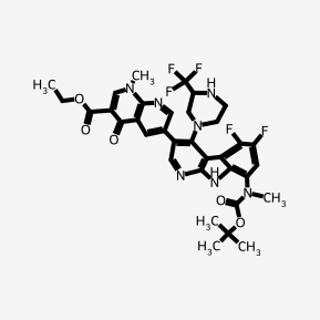 CCOC(=O)c1cn(C)c2ncc(-c3cnc4[nH]c5c(N(C)C(=O)OC(C)(C)C)cc(F)c(F)c5c4c3N3CCNC(C(F)(F)F)C3)cc2c1=O